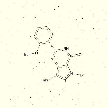 CCCc1nn(CC)c2c(=O)[nH]c(-c3ccccc3OCC)nc12